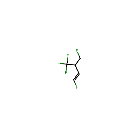 F/C=C/C(CF)C(F)(F)F